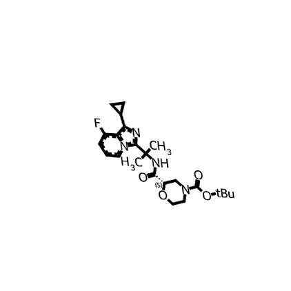 CC(C)(C)OC(=O)N1CCO[C@H](C(=O)NC(C)(C)c2nc(C3CC3)c3c(F)cccn23)C1